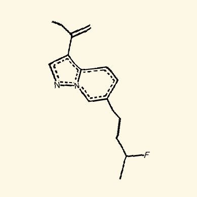 C=C(C)c1cnn2cc(CCC(C)F)ccc12